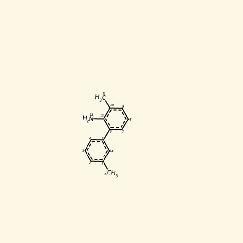 Cc1cccc(-c2cccc(C)c2N)c1